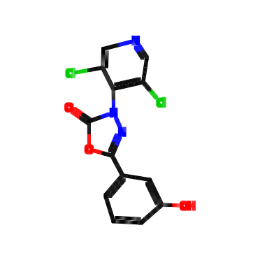 O=c1oc(-c2cccc(O)c2)nn1-c1c(Cl)cncc1Cl